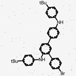 CC(C)(C)c1ccc(Nc2ccc(-c3ccc(Nc4ccc(C(C)(C)C)cc4)c(-c4ccc(Br)cc4)c3)cc2)cc1